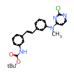 CN(c1cccc(/C=C/c2cccc(NC(=O)OC(C)(C)C)c2)c1)c1ccnc(Cl)n1